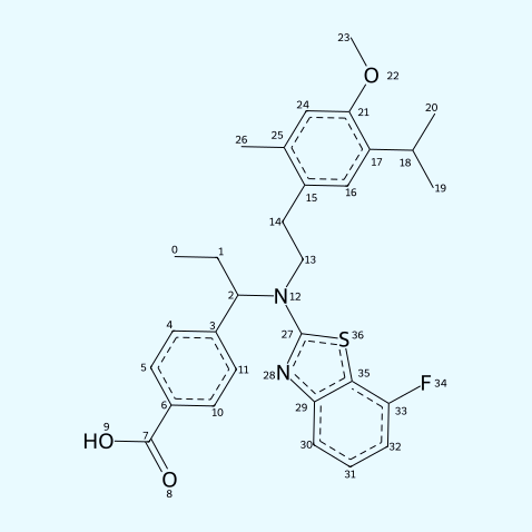 CCC(c1ccc(C(=O)O)cc1)N(CCc1cc(C(C)C)c(OC)cc1C)c1nc2cccc(F)c2s1